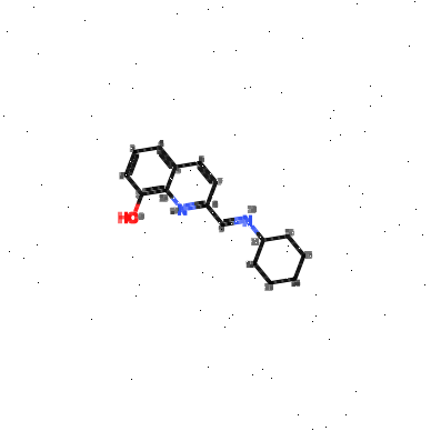 Oc1cccc2ccc(/C=N/C3CCCCC3)nc12